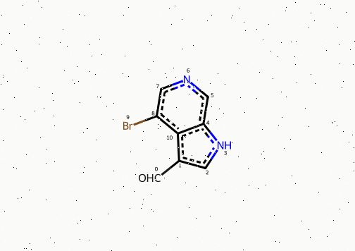 O=Cc1c[nH]c2cncc(Br)c12